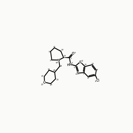 O=C(Nc1nc2cc(Cl)ccc2s1)[C@@H]1CCCCN1CC1CCOCC1